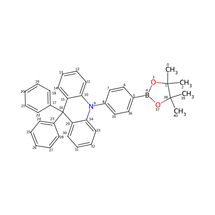 CC1(C)OB(c2ccc(N3c4ccccc4C(c4ccccc4)(c4ccccc4)c4ccccc43)cc2)OC1(C)C